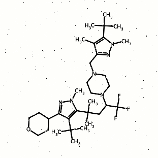 Cc1c(CN2CCN(C(CC(C)(C)c3c(C(C)(C)C)c(C4CCOCC4)nn3C)C(F)(F)F)CC2)nn(C)c1C(C)(C)C